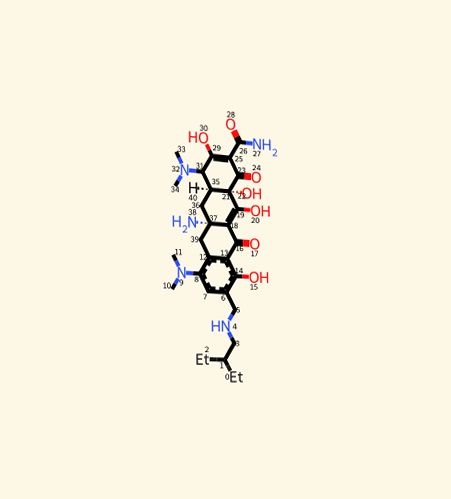 CCC(CC)CNCc1cc(N(C)C)c2c(c1O)C(=O)C1=C(O)[C@]3(O)C(=O)C(C(N)=O)=C(O)C(N(C)C)[C@@H]3C[C@]1(N)C2